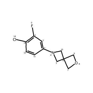 Fc1cc(N2CC3(COC3)C2)ccc1Cl